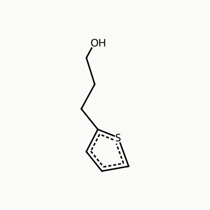 OCCCc1cccs1